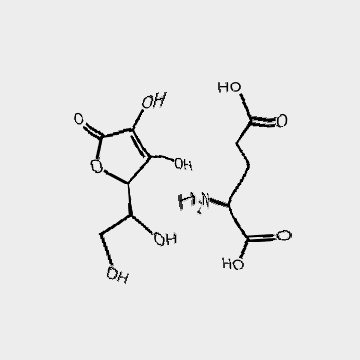 NC(CCC(=O)O)C(=O)O.O=C1O[C@H](C(O)CO)C(O)=C1O